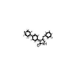 O=C1NCC(Cc2ccccc2)N1c1ccc(-c2ccncc2)cc1